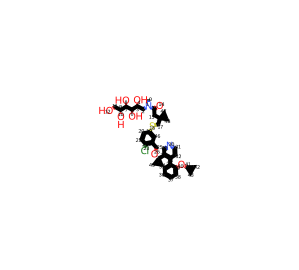 CN(C[C@H](O)[C@@H](O)[C@H](O)[C@H](O)CO)C(=O)CC1(CSc2ccc(Cl)c(COC3(c4cnccc4-c4ccccc4OC4CC4)CC3)c2)CC1